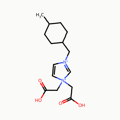 CC1CCC(C[N+]2=C[N+](CC(=O)O)(CC(=O)O)C=C2)CC1